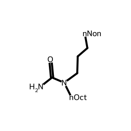 CCCCCCCCCCCCN(CCCCCCCC)C(N)=O